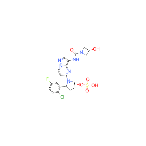 O=C(Nc1cnn2ccc(N3CCCC3c3cc(F)ccc3Cl)nc12)N1CC(O)C1.O=S(=O)(O)O